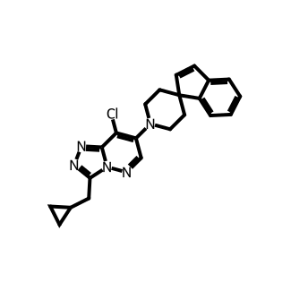 Clc1c(N2CCC3(C=Cc4ccccc43)CC2)cnn2c(CC3CC3)nnc12